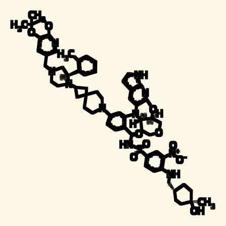 Cc1ccccc1[C@@H]1CN(Cc2cnc3c(c2)OC(C)(C)CO3)CCN1C1CC2(CCN(c3ccc(C(=O)NS(=O)(=O)c4ccc(NC[C@H]5CC[C@](C)(O)CC5)c([N+](=O)[O-])c4)c(N4c5cc6cc[nH]c6nc5O[C@H]5COCC[C@@H]54)c3)CC2)C1